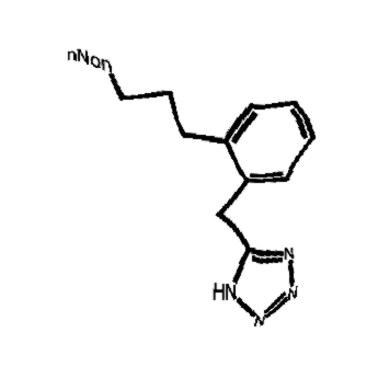 CCCCCCCCCCCCc1ccccc1Cc1nnn[nH]1